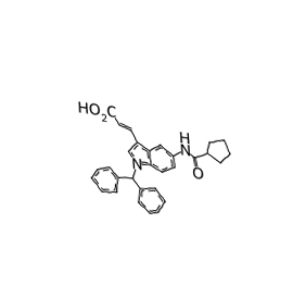 O=C(O)/C=C/c1cn(C(c2ccccc2)c2ccccc2)c2ccc(NC(=O)C3CCCC3)cc12